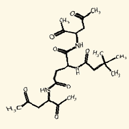 CC(=O)CC(NC(=O)CC(NC(=O)CC(C)(C)C)C(=O)NC(CC(C)=O)C(C)=O)C(C)=O